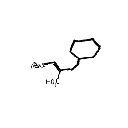 CCCCC=C(CC1CCCCC1)C(=O)O